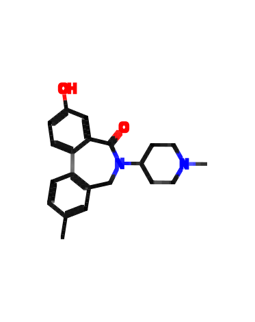 Cc1ccc2c(c1)CN(C1CCN(C)CC1)C(=O)c1cc(O)ccc1-2